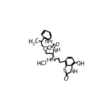 CCCS(=O)(=O)NC(COCC(C)c1ccccc1)NCCc1ccc(O)c2[nH]c(=O)sc12.Cl